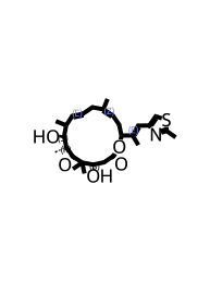 C/C1=C/CC(/C(C)=C/c2csc(C)n2)OC(=O)C[C@H](O)C(C)(C)C(=O)[C@H](C)[C@@H](O)C(C)/C=C/C1